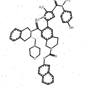 Cc1c(C(=O)N(C)c2ccc(O)cc2)cc(-c2cc3c(cc2C(=O)N2Cc4ccccc4C[C@H]2CN2CCOCC2)CN(C(=O)Oc2ccc4ccccc4c2)CC3)n1C